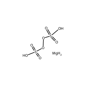 O=S(=O)(O)OOS(=O)(=O)O.[MgH2]